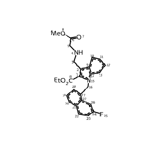 CCOC(=O)c1c(CNCC(=O)OC)c2ccccc2n1Cc1cccc2ccc(F)cc12